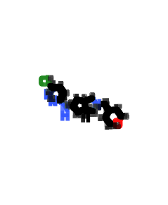 Clc1ccc(N[C@@H]2CC3CN(CC4CCOCC4)C[C@H]3C2)nn1